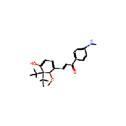 CNc1ccc(C(=O)C=CC2=CC=C(O)C(C(C)(C)C)(C(C)(C)C)C2OC)cc1